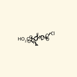 O=C(O)Oc1cn(C2CC2)c2cc(N3CCN(C(=O)OCCCl)CC3)c(F)cc2c1=O